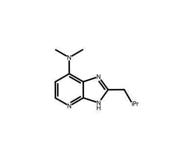 CC(C)Cc1nc2c(N(C)C)ccnc2[nH]1